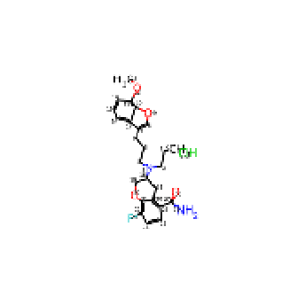 CCCN(CCCc1coc2c(OC)cccc12)C1COc2c(F)ccc(C(N)=O)c2C1.Cl